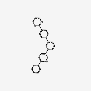 Cc1cc(C2=CC=C(c3ccccc3)NC2)cc(-c2ccc(-c3ncccn3)cc2)c1